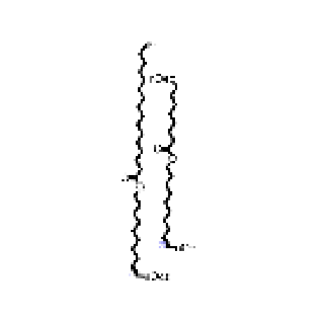 CCCCCCCC/C=C\CCCCCCCCOC(=O)CCCCCCCCCCCCCCC(C)C.CCCCCCCC/C=C\CCCCCCCCOC(=O)CCCCCCCCCCCCCCCCC